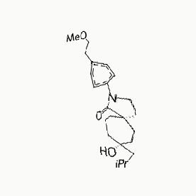 COCCc1ccc(N2CC[C@]3(CC[C@](O)(CC(C)C)CC3)C2=O)cc1